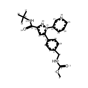 COC(=O)NCc1ccc(-c2cc(C(=O)NC(C)(C)C)nn2-c2cccnc2)cc1